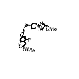 CNC(=O)Cc1c(F)cc(OCC[C@@H]2C[C@@H]2C2CCN(c3ncc(COC)cn3)CC2)cc1F